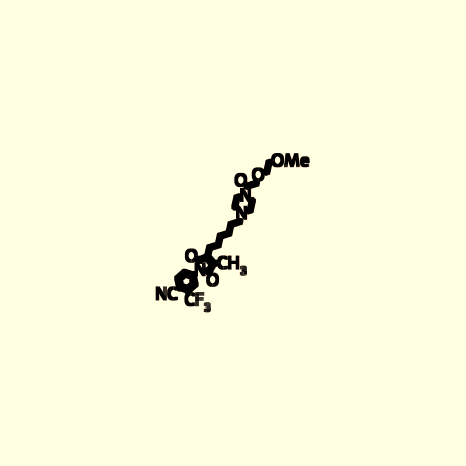 COCCOCC(=O)N1CCN(CCCCCCC2=C(C)C(=O)N(c3ccc(C#N)c(C(F)(F)F)c3)C2=O)CC1